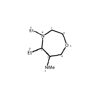 CCC1C(NC)COCCN1CC